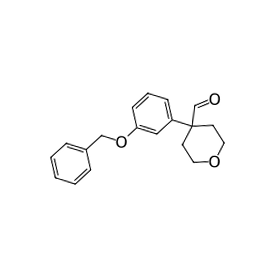 O=CC1(c2cccc(OCc3ccccc3)c2)CCOCC1